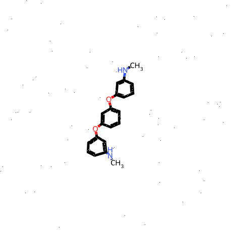 CNc1cccc(Oc2cccc(Oc3cccc(NC)c3)c2)c1